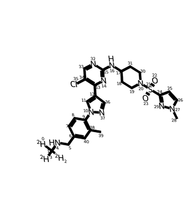 [2H]C([2H])([2H])NCc1ccc(-n2cc(-c3nc(NC4CCN(S(=O)(=O)c5ccn(C)n5)CC4)ncc3Cl)cn2)c(C)c1